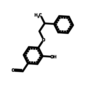 CC(COc1ccc(C=O)cc1O)c1ccccc1